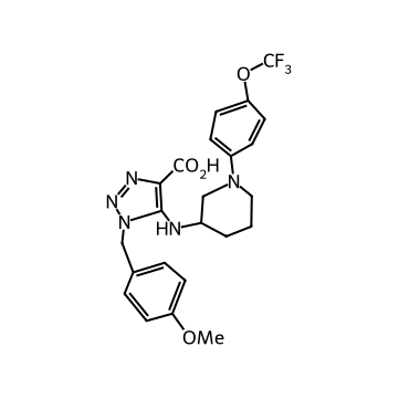 COc1ccc(Cn2nnc(C(=O)O)c2NC2CCCN(c3ccc(OC(F)(F)F)cc3)C2)cc1